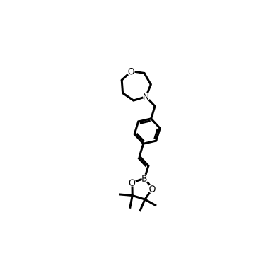 CC1(C)OB(/C=C/c2ccc(CN3CCCOCC3)cc2)OC1(C)C